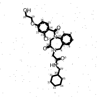 O=C(CN1Cc2ccccc2N(C(=O)c2ccc(OCCO)cc2Cl)CC1=O)NCC1CCCCC1